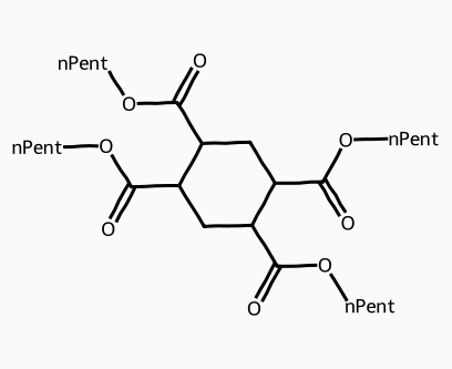 CCCCCOC(=O)C1CC(C(=O)OCCCCC)C(C(=O)OCCCCC)CC1C(=O)OCCCCC